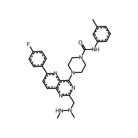 CNN(C)Cc1nc(N2CCN(C(=O)Nc3cccc(C)c3)CC2)c2nc(-c3ccc(F)cc3)ccc2n1